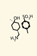 C[C@]1(O)CC[C@@H](CN)CC1.Cc1ccc(S(=O)(=O)O)cc1